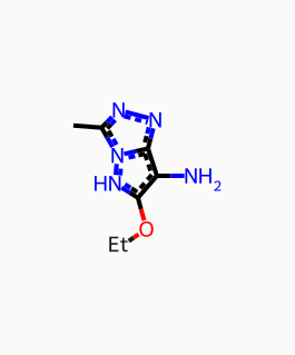 CCOc1[nH]n2c(C)nnc2c1N